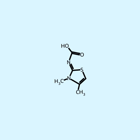 Cc1cs/c(=N\C(=O)O)n1C